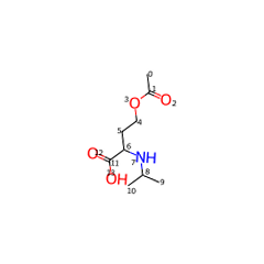 CC(=O)OCCC(NC(C)C)C(=O)O